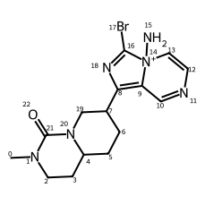 CN1CCC2CCC(C3=C4C=NC=C[N+]4(N)C(Br)=N3)CN2C1=O